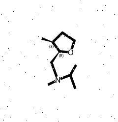 CC(C)N(C)C[C@@H]1OCC[C@@H]1C